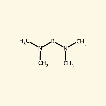 CN(C)[B]N(C)C